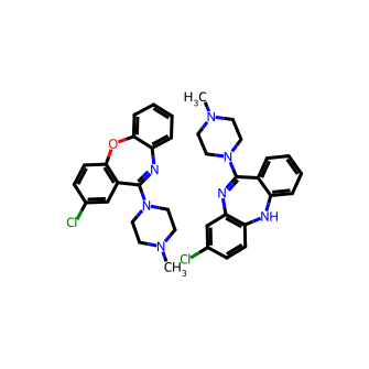 CN1CCN(C2=Nc3cc(Cl)ccc3Nc3ccccc32)CC1.CN1CCN(C2=Nc3ccccc3Oc3ccc(Cl)cc32)CC1